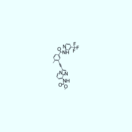 COC(=O)Nc1cccn2c(C#Cc3cc(C(=O)Nc4cc(C(F)(F)F)ccn4)ccc3C)cnc12